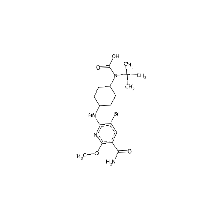 COc1nc(NC2CCC(N(C(=O)O)C(C)(C)C)CC2)c(Br)cc1C(N)=O